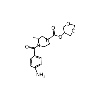 C[C@@H]1CN(C(=O)OC2CCCOC2)CCN1C(=O)c1ccc(N)cc1